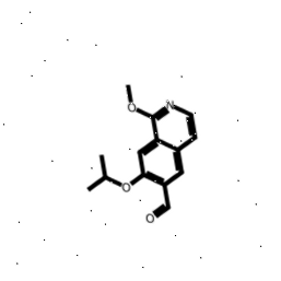 COc1nccc2cc(C=O)c(OC(C)C)cc12